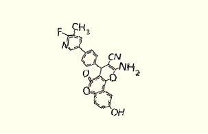 Cc1cc(-c2ccc(C3C(C#N)=C(N)Oc4c3c(=O)oc3ccc(O)cc43)cc2)cnc1F